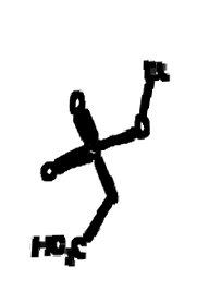 CCOS(=O)(=O)CC(=O)O